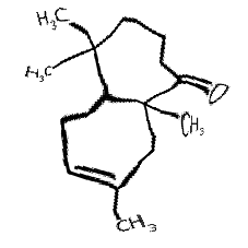 CC1=CCC2C(C)(C)CCC(=O)C2(C)C1